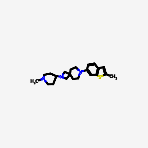 Cc1cc2ccc(N3CCC4(CC3)CN(C3CCN(C)CC3)C4)cc2s1